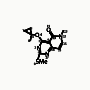 CSc1nc(OC2(C)CC2)c2c(=O)n(C)ccc2n1